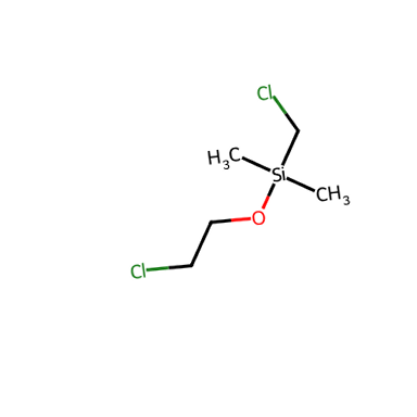 C[Si](C)(CCl)OCCCl